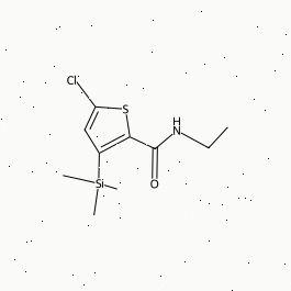 CCNC(=O)c1sc(Cl)cc1[Si](C)(C)C